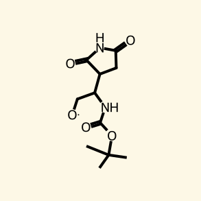 CC(C)(C)OC(=O)NC(C[O])C1CC(=O)NC1=O